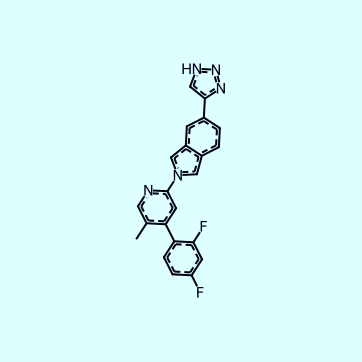 Cc1cnc(-n2cc3ccc(-c4c[nH]nn4)cc3c2)cc1-c1ccc(F)cc1F